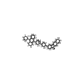 c1ccc(-c2c3ccccc3c(-c3ccc(-c4ccc(-c5ccc6sc7cc8ccccc8cc7c6c5)cc4)nc3)c3ccccc23)cc1